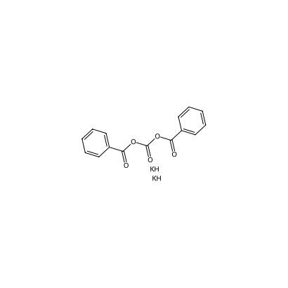 O=C(OC(=O)c1ccccc1)OC(=O)c1ccccc1.[KH].[KH]